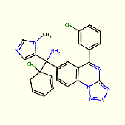 Cn1cncc1C(N)(c1ccc2c(c1)c(-c1cccc(Cl)c1)nc1nnnn12)C1(Cl)C=CC=CC1